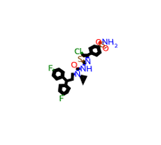 NS(=O)(=O)c1ccc(-c2nc(NC(=O)N(CCC(c3ccc(F)cc3)c3ccc(F)cc3)C3CC3)sc2Cl)cc1